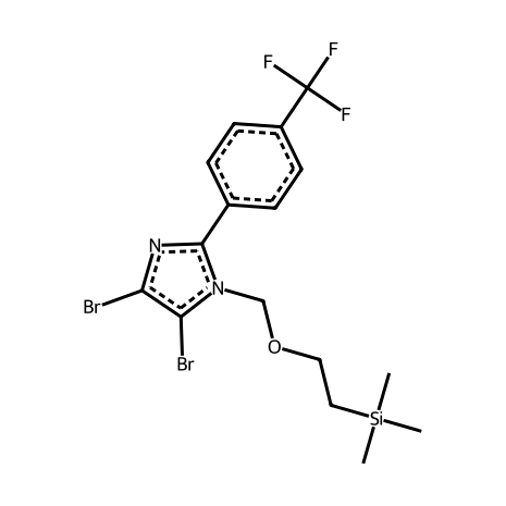 C[Si](C)(C)CCOCn1c(-c2ccc(C(F)(F)F)cc2)nc(Br)c1Br